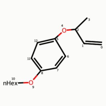 C=CC(C)Oc1ccc(OCCCCCC)cc1